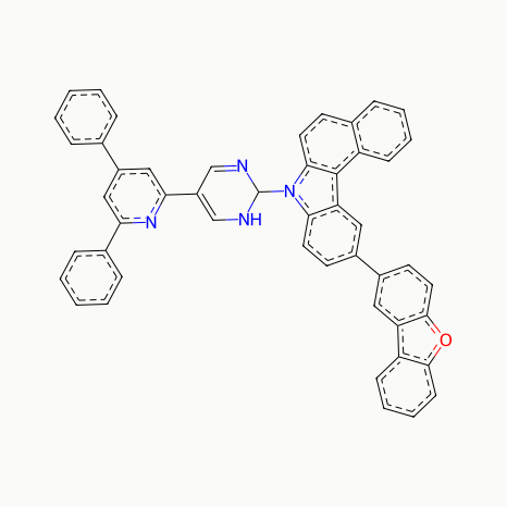 C1=NC(n2c3ccc(-c4ccc5oc6ccccc6c5c4)cc3c3c4ccccc4ccc32)NC=C1c1cc(-c2ccccc2)cc(-c2ccccc2)n1